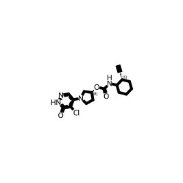 C#C[C@@H]1CCCCC1NC(=O)O[C@@H]1CCN(c2cn[nH]c(=O)c2Cl)C1